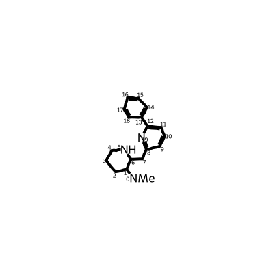 CNC1CCCNC1Cc1cccc(-c2ccccc2)n1